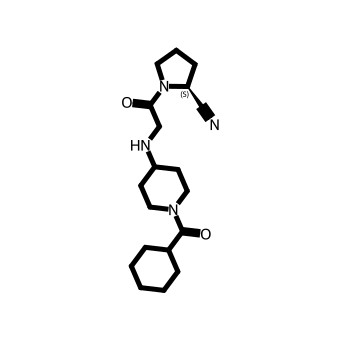 N#C[C@@H]1CCCN1C(=O)CNC1CCN(C(=O)C2CCCCC2)CC1